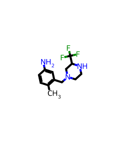 Cc1ccc(N)cc1CN1CCNC(C(F)(F)F)C1